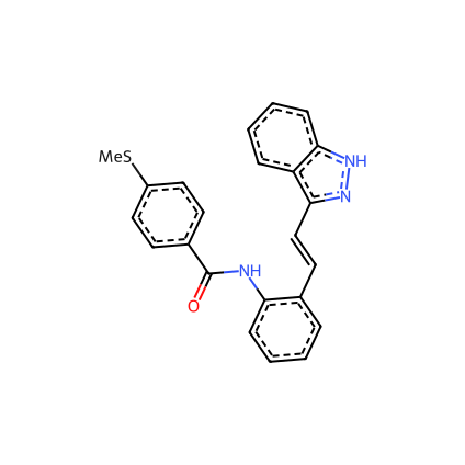 CSc1ccc(C(=O)Nc2ccccc2C=Cc2n[nH]c3ccccc23)cc1